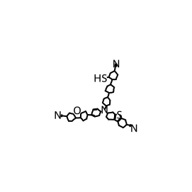 N#CC1CCc2c(sc3c2CCC(N(C2C=CC(C4CCC5C(C4)OC4CC(C#N)CCC45)=CC2)C2CCC(C4CCC(C5CCC(C#N)CC5S)CC4)CC2)C3)C1